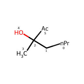 CCCCC(C)(O)C(C)=O